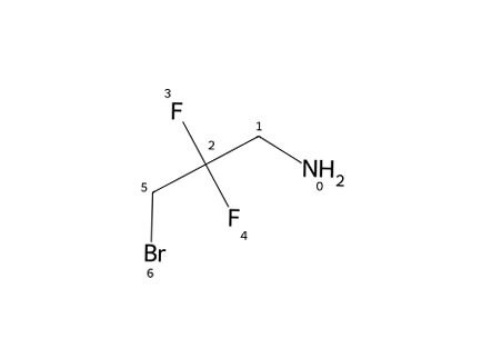 NCC(F)(F)CBr